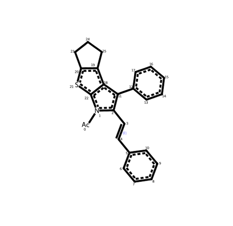 CC(=O)n1c(/C=C/c2ccccc2)c(-c2ccccc2)c2c3c(sc21)CCC3